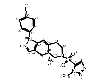 CCCn1nncc1S(=O)(=O)N1CCC2=Cc3c(cnn3-c3ccc(F)cc3)C[C@]2(C(C)=O)C1